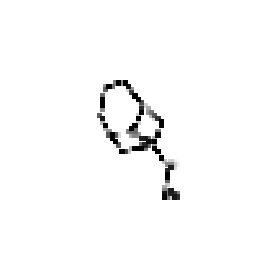 CC(C)(C)NC1CC2CCCC(C1)N2O